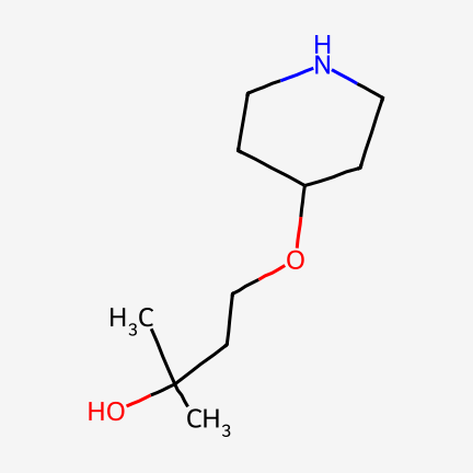 CC(C)(O)CCOC1CCNCC1